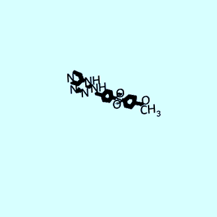 CC(=O)c1ccc(S(=O)(=O)c2ccc(CNC(=NC#N)Nc3ccncc3)cc2)cc1